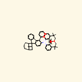 CC1(C)CCC(C)(C)c2c(N(c3ccc4c(c3-c3ccccc3)-c3ccccc3C43C4CC5CC6CC3C64C5)c3cccc4c3C(C)(C)CCC4(C)C)cccc21